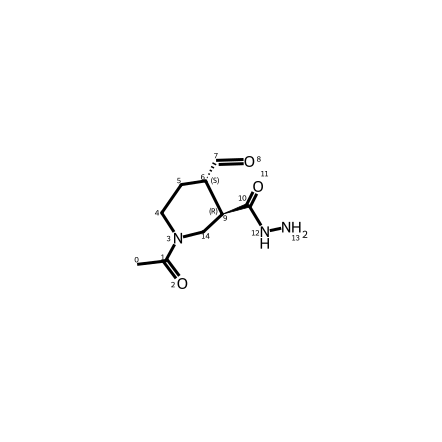 CC(=O)N1CC[C@H](C=O)[C@@H](C(=O)NN)C1